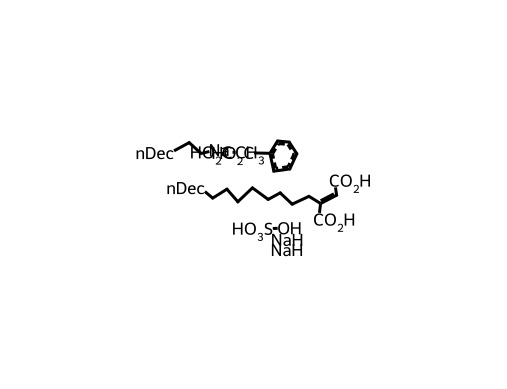 CC(=O)O.CCCCCCCCCCCCCCCCCC/C(=C\C(=O)O)C(=O)O.CCCCCCCCCCC[CH2][Na].O=C(O)c1ccccc1.O=S(=O)(O)O.[NaH].[NaH]